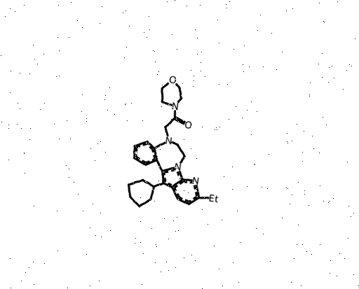 CCc1ccc2c(C3CCCCC3)c3n(c2n1)CCN(CC(=O)N1CCOCC1)c1ccccc1-3